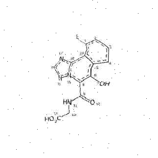 Cc1cccc2c(O)c(C(=O)NCC(=O)O)n3ncnc3c12